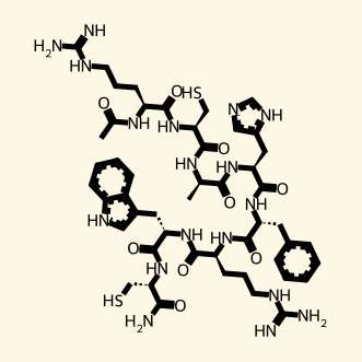 CC(=O)N[C@@H](CCCNC(=N)N)C(=O)N[C@@H](CS)C(=O)N[C@H](C)C(=O)N[C@@H](Cc1cnc[nH]1)C(=O)N[C@H](Cc1ccccc1)C(=O)N[C@@H](CCCNC(=N)N)C(=O)N[C@@H](Cc1c[nH]c2ccccc12)C(=O)N[C@@H](CS)C(N)=O